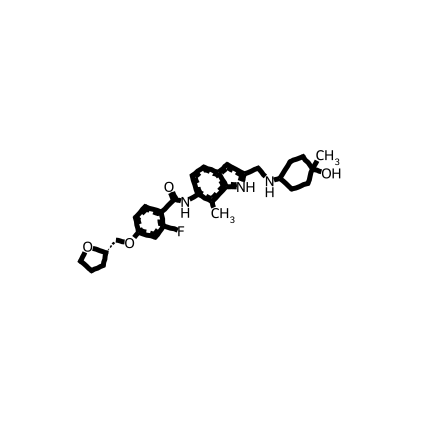 Cc1c(NC(=O)c2ccc(OC[C@@H]3CCCO3)cc2F)ccc2cc(CNC3CCC(C)(O)CC3)[nH]c12